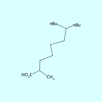 CCCCC(CCCC)CCCCC(C)C(=O)O